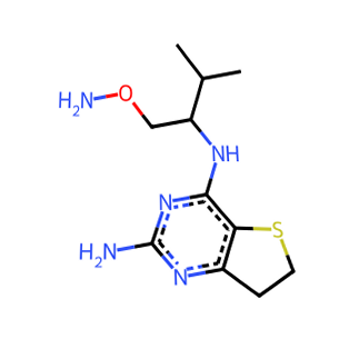 CC(C)C(CON)Nc1nc(N)nc2c1SCC2